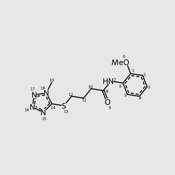 COc1ccccc1NC(=O)CCCSc1nnnn1C